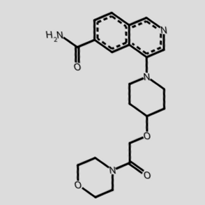 NC(=O)c1ccc2cncc(N3CCC(OCC(=O)N4CCOCC4)CC3)c2c1